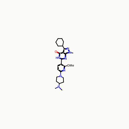 COc1nc(N2CCC(N(C)C)CC2)ccc1-c1nc2c(c(C3CCCCC3)nn2C)c(=O)[nH]1